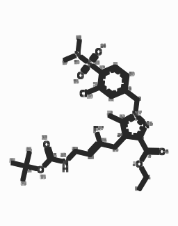 CCOC(=O)c1nn(Cc2ccc(S(=O)(=O)N(C)C)c(Cl)c2)c(C)c1C/C(F)=C/CNC(=O)OC(C)(C)C